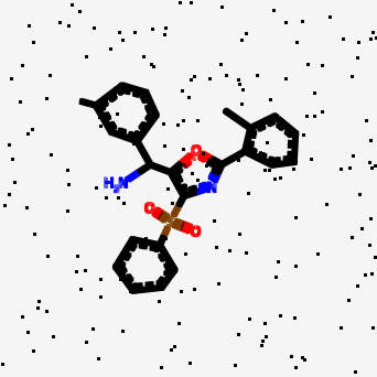 Cc1cccc(C(N)c2oc(-c3ccccc3C)nc2S(=O)(=O)c2ccccc2)c1